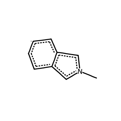 Cn1cc2c[c]ccc2c1